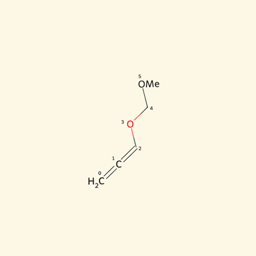 C=C=COCOC